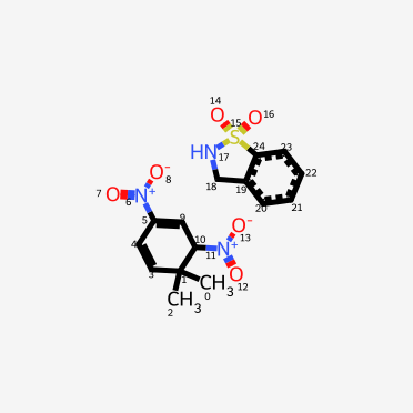 CC1(C)C=CC([N+](=O)[O-])=CC1[N+](=O)[O-].O=S1(=O)NCc2ccccc21